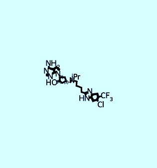 CC(C)N(CCCCc1nc2cc(C(F)(F)F)c(Cl)cc2[nH]1)C[C@@H]1C[C@@H](O)[C@H](n2ccc3c(N)ncnc32)C1